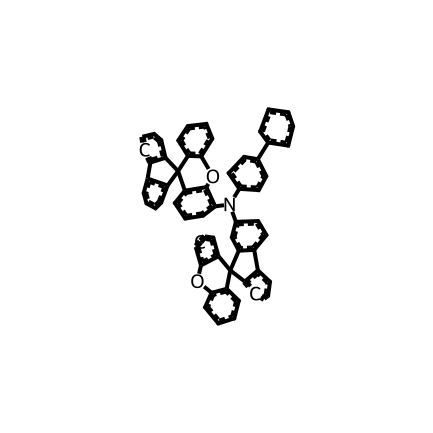 c1ccc(-c2ccc(N(c3ccc4c(c3)C3(c5ccccc5Oc5ccccc53)c3ccccc3-4)c3cccc4c3Oc3ccccc3C43c4ccccc4-c4ccccc43)cc2)cc1